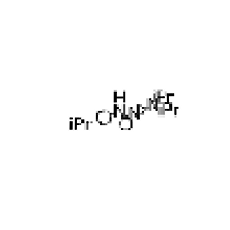 CC(C)c1ccc(NC(=O)N2CC(N(C(C)C)C(C)C)C2)cc1